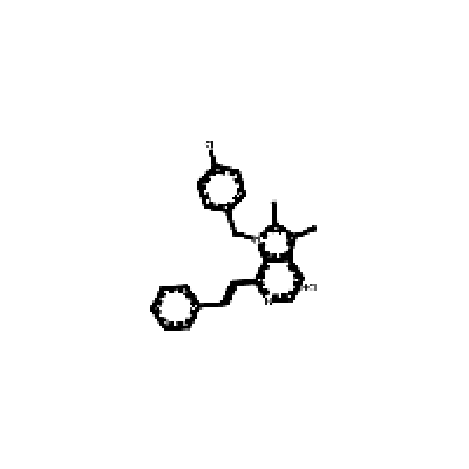 Cc1c(C)n(Cc2ccc(Cl)cc2)c2c(C=Cc3ccccc3)nccc12.Cl